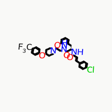 O=C(/C=C/c1ccc(Cl)cc1)N[C@@H](Cc1ccccn1)C(=O)NCC(=O)N1CCC(Oc2ccc(C(F)(F)F)cc2)CC1